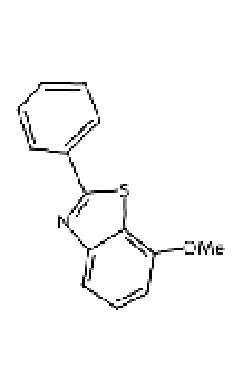 COc1cccc2nc(-c3ccccc3)sc12